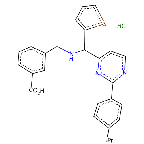 CC(C)c1ccc(-c2nccc(C(NCc3cccc(C(=O)O)c3)c3cccs3)n2)cc1.Cl